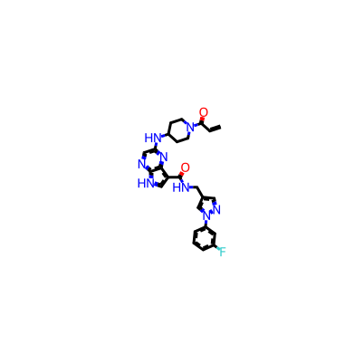 C=CC(=O)N1CCC(Nc2cnc3[nH]cc(C(=O)NCc4cnn(-c5cccc(F)c5)c4)c3n2)CC1